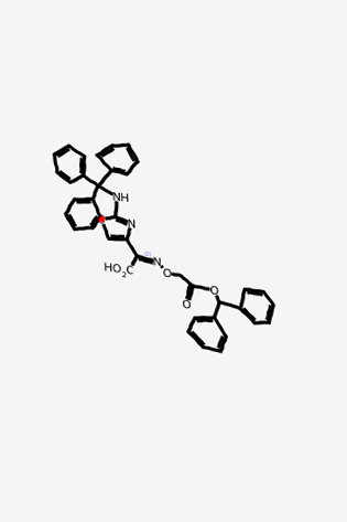 O=C(CO/N=C(\C(=O)O)c1csc(NC(c2ccccc2)(c2ccccc2)c2ccccc2)n1)OC(c1ccccc1)c1ccccc1